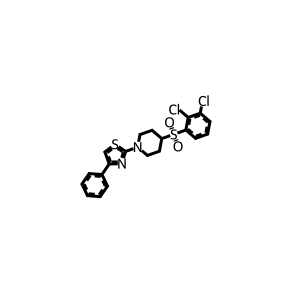 O=S(=O)(c1cccc(Cl)c1Cl)C1CCN(c2nc(-c3ccccc3)cs2)CC1